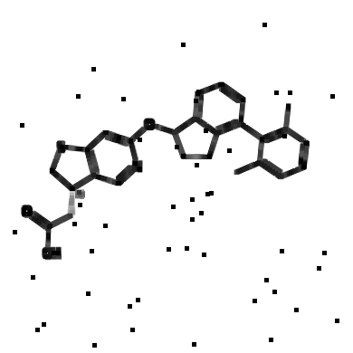 Cc1cccc(C)c1-c1cccc2c1CCC2Oc1cc2c(cn1)[C@H](CC(=O)O)CS2